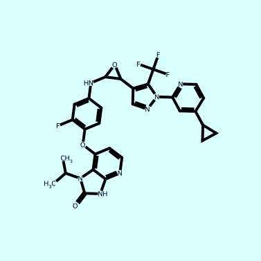 CC(C)n1c(=O)[nH]c2nccc(Oc3ccc(NC4OC4c4cnn(-c5cc(C6CC6)ccn5)c4C(F)(F)F)cc3F)c21